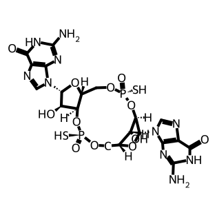 Nc1nc2c(ncn2[C@@H]2O[C@@H]3CO[P@](=O)(S)O[C@@H]4[C@H](O)[C@@H](CO[P@@](=O)(S)O[C@H]3[C@H]2O)O[C@H]4n2cnc3c(=O)[nH]c(N)nc32)c(=O)[nH]1